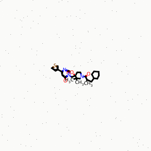 C[C@H](CC1CCCCC1)C(=O)N1CCC(O)(Cn2cnc(-c3ccsc3)cc2=O)C(C)(C)C1